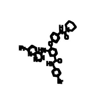 CC(C)c1ccc2c(Nc3cc(C(=O)Nc4ccc(Br)cc4)ccc3Oc3ccc(NC(=O)N4CCCCC4)cc3)ncnc2n1